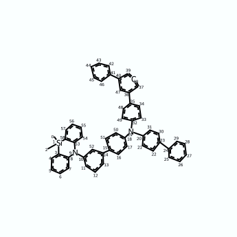 C[Si]1(C)c2ccccc2N(c2cccc(-c3ccc(N(c4ccc(-c5ccccc5)cc4)c4ccc(-c5cccc(-c6ccccc6)c5)cc4)cc3)c2)c2ccccc21